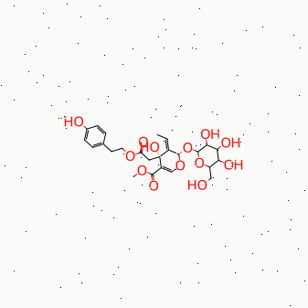 C/C=C1/[C@H](OC2OC(CO)C(O)C(O)C2O)OC=C(C(=O)OC)[C@@]1(O)CC(=O)OCCc1ccc(O)cc1